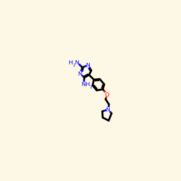 Nc1ncc(-c2ccc(OCCN3CCCC3)cc2)c(N)n1